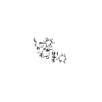 C=CCN1C[C@H]2CSC(NC(=O)c3ccccc3)N[C@@]2(c2ccccc2F)C1